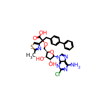 Cc1nc(C(Cc2ccc(-c3ccccc3)cc2)(OC[C@H]2O[C@@H](n3cnc4c(N)nc(Cl)nc43)[C@H](O)[C@@H]2O)C(=O)O)cs1